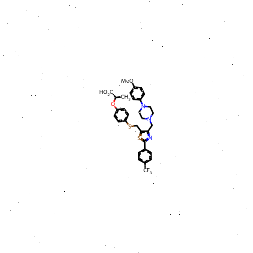 COc1ccc(N2CCN(Cc3nc(-c4ccc(C(F)(F)F)cc4)sc3CSc3ccc(OC(C)C(=O)O)cc3)CC2)cc1